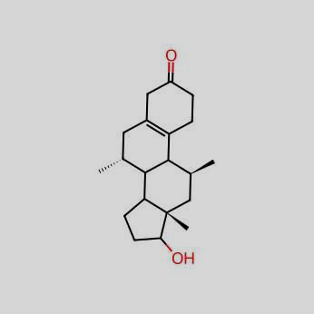 C[C@@H]1CC2=C(CCC(=O)C2)C2C1C1CCC(O)[C@@]1(C)C[C@@H]2C